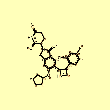 O=C1CCC(N2Cc3cc(OC4CCCC4)c(C4NCC4c4ccc(F)cc4Cl)cc3C2=O)C(=O)N1